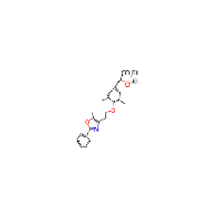 CCOC(=O)C(=Cc1cc(C)c(OCCc2nc(-c3ccccc3)oc2C)c(C)c1)OCC